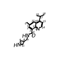 Cc1cc(C(=O)NCC2CNC2)c2nccc(C(C)C)c2c1